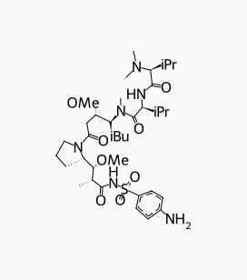 CC[C@H](C)[C@@H]([C@H](CC(=O)N1CCC[C@H]1[C@H](OC)[C@@H](C)C(=O)NS(=O)(=O)c1ccc(N)cc1)OC)N(C)C(=O)[C@@H](NC(=O)[C@H](C(C)C)N(C)C)C(C)C